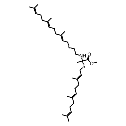 COC(=O)C(C)(NCCSC/C=C(\C)CC/C=C(\C)CCC=C(C)C)SC/C=C(\C)CC/C=C(\C)CCC=C(C)C